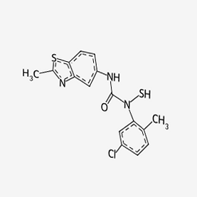 Cc1nc2cc(NC(=O)N(S)c3cc(Cl)ccc3C)ccc2s1